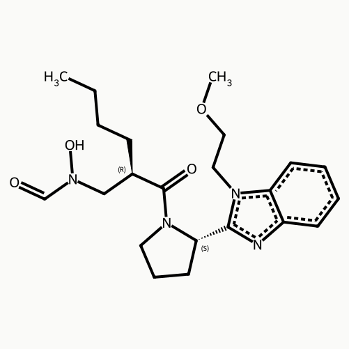 CCCC[C@H](CN(O)C=O)C(=O)N1CCC[C@H]1c1nc2ccccc2n1CCOC